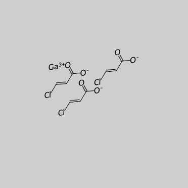 O=C([O-])C=CCl.O=C([O-])C=CCl.O=C([O-])C=CCl.[Ga+3]